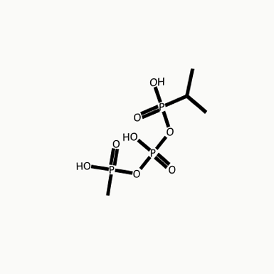 CC(C)P(=O)(O)OP(=O)(O)OP(C)(=O)O